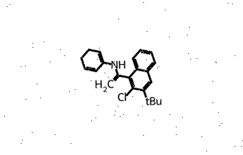 C=C(NC1=CCCC=C1)c1c(Cl)c(C(C)(C)C)cc2ccccc12